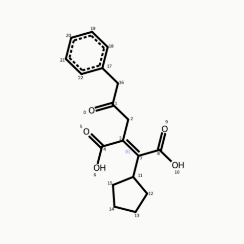 O=C(C/C(C(=O)O)=C(\C(=O)O)C1CCCC1)Cc1ccccc1